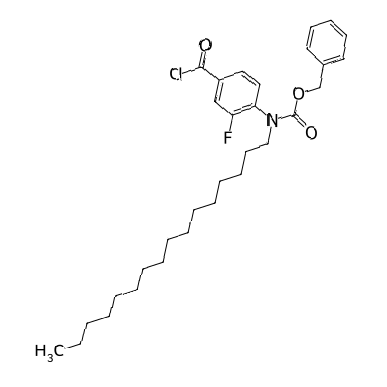 CCCCCCCCCCCCCCCCN(C(=O)OCc1ccccc1)c1ccc(C(=O)Cl)cc1F